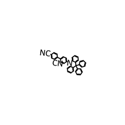 N#Cc1ccc(-c2ccc(N3c4ccccc4C(c4ccccc4)(c4ccccc4)c4ccccc43)cc2)c(C#N)c1